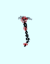 C=CC(=O)OCCCC[C@H]1CC[C@H](c2ccc(-c3ccc(C(=O)Oc4ccc(C5O[C@@H](C(=O)OCCCC)[C@H](C(=O)OCCCC)O5)cc4)cc3)cc2)CC1